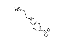 O=[N+]([O-])c1ccc(CNCCS)cn1